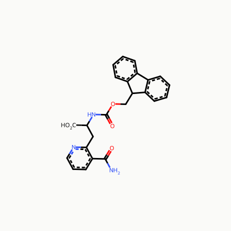 NC(=O)c1cccnc1CC(NC(=O)OCC1c2ccccc2-c2ccccc21)C(=O)O